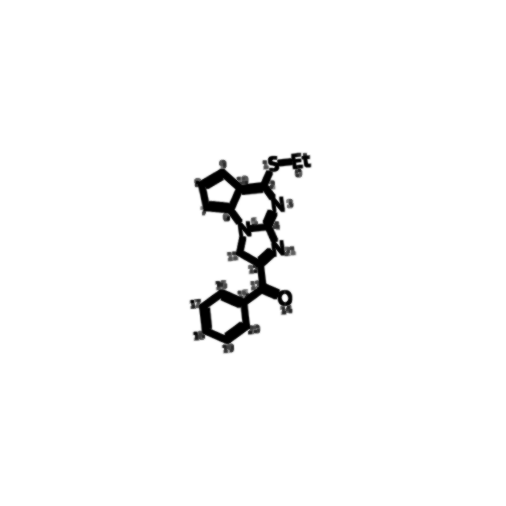 CCSc1nc2n(c3cccc1-3)CC(C(=O)c1ccccc1)=N2